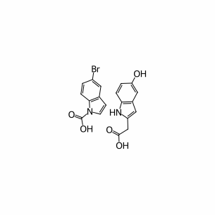 O=C(O)Cc1cc2cc(O)ccc2[nH]1.O=C(O)n1ccc2cc(Br)ccc21